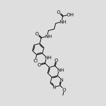 COc1ncc2cc(C(=O)Nc3cc(C(=O)NCCCNC(=O)O)ccc3Cl)c(=O)[nH]c2n1